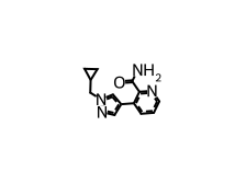 NC(=O)c1ncccc1-c1cnn(CC2CC2)c1